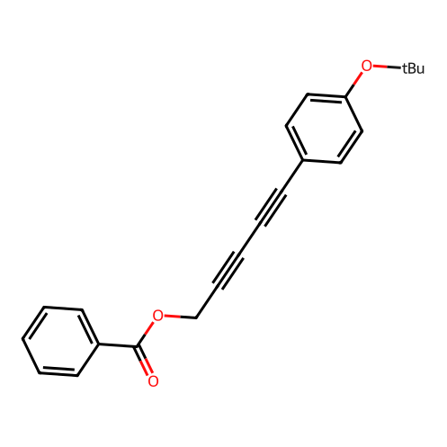 CC(C)(C)Oc1ccc(C#CC#CCOC(=O)c2ccccc2)cc1